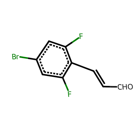 O=C/C=C/c1c(F)cc(Br)cc1F